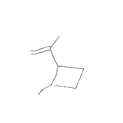 C=C(C)C1CCC1C